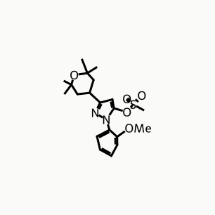 COc1ccccc1-n1nc(C2CC(C)(C)OC(C)(C)C2)cc1OS(C)(=O)=O